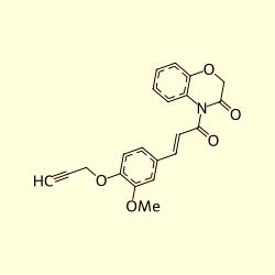 C#CCOc1ccc(/C=C/C(=O)N2C(=O)COc3ccccc32)cc1OC